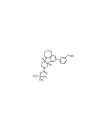 CC(C)(C)OC(=O)N1CC[C@H]2[C@@H](C1)c1cc(-c3cccc(CO)c3)cc3c1N2CCCS3